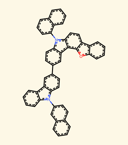 c1ccc2cc(-n3c4ccccc4c4cc(-c5ccc6c(c5)c5c7oc8ccccc8c7ccc5n6-c5cccc6ccccc56)ccc43)ccc2c1